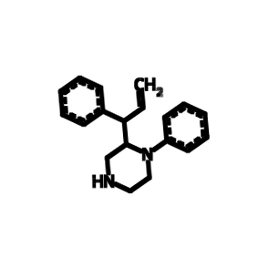 C=CC(c1ccccc1)C1CNCCN1c1ccccc1